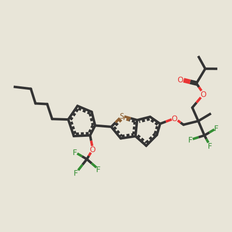 CCCCCc1ccc(-c2cc3ccc(OCC(C)(COC(=O)C(C)C)C(F)(F)F)cc3s2)c(OC(F)(F)F)c1